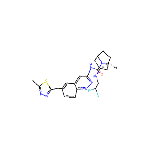 Cc1nnc(-c2ccc3nnc(NC(=O)N4C5CC[C@H]4C[C@@H](NCC(F)F)C5)cc3c2)s1